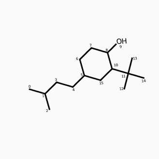 CC(C)CCC1CCC(O)C(C(C)(C)C)C1